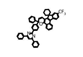 FC(F)(F)c1ccc2c(c1)C1(CCCCC1)c1c3c(c4ccccc4c1-2)OC(c1ccccc1)(c1ccc(-c2nc(-c4ccccc4)cc(-c4ccccc4)n2)cc1)C=C3